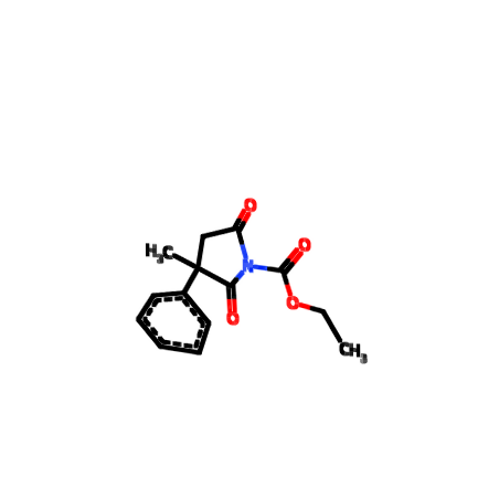 CCOC(=O)N1C(=O)CC(C)(c2ccccc2)C1=O